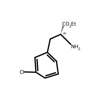 CCOC(=O)[C@H](N)Cc1cccc(Cl)c1